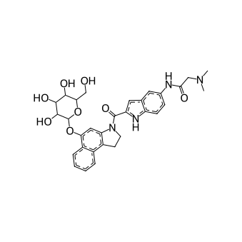 CN(C)CC(=O)Nc1ccc2[nH]c(C(=O)N3CCc4c3cc(OC3OC(CO)C(O)C(O)C3O)c3ccccc43)cc2c1